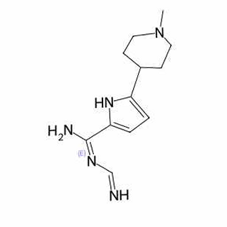 CN1CCC(c2ccc(/C(N)=N\C=N)[nH]2)CC1